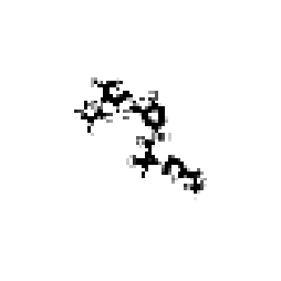 C=C(/C=C\C(F)=C(/C)C(F)(F)F)[C@H]1[C@H](C(=O)Nc2ccc(Cl)c(C(=O)Nc3ccc(F)c(NC(=O)C(Cl)Cl)c3F)c2)C1(Cl)Cl